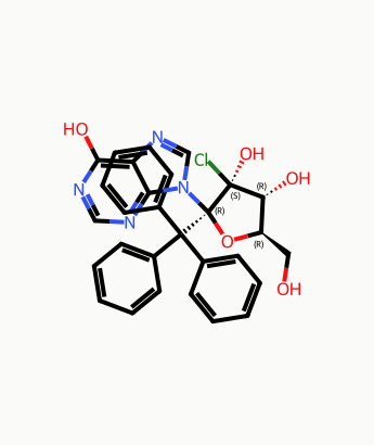 OC[C@H]1O[C@](n2cnc3c(O)ncnc32)(C(c2ccccc2)(c2ccccc2)c2ccccc2)[C@@](O)(Cl)[C@@H]1O